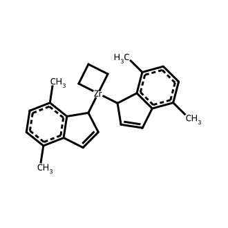 Cc1ccc(C)c2c1C=C[CH]2[Zr]1([CH]2C=Cc3c(C)ccc(C)c32)[CH2]C[CH2]1